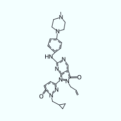 C=CCn1c(=O)c2cnc(Nc3ccc(N4CCN(C)CC4)cc3)nc2n1-c1ccc(=O)n(CC2CC2)n1